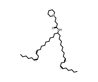 CCCCC/C=C\C/C=C\CCCCCCCCC(CCCCCCCC/C=C\C/C=C\CCCCC)NC(=O)CCCN1CCCCC1